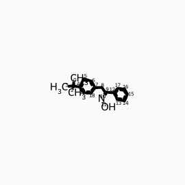 CC(C)(C)c1ccc(CC(=NO)c2ccccc2)cc1